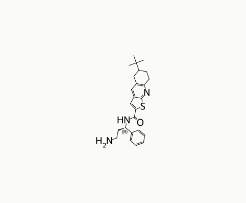 CC(C)(C)C1CCc2nc3sc(C(=O)N[C@H](CCN)c4ccccc4)cc3cc2C1